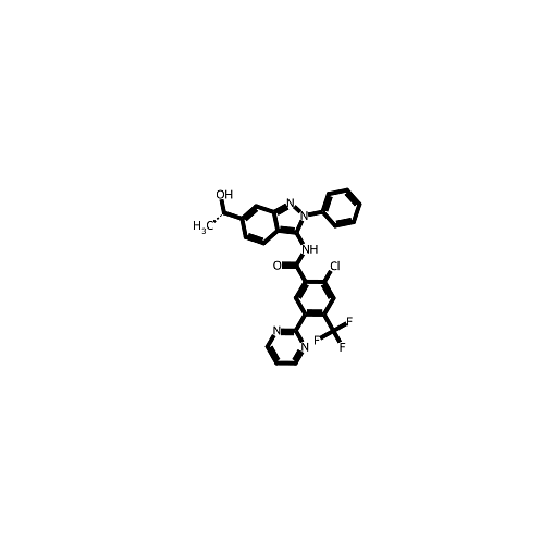 C[C@H](O)c1ccc2c(NC(=O)c3cc(-c4ncccn4)c(C(F)(F)F)cc3Cl)n(-c3ccccc3)nc2c1